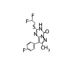 Cc1nn2c(=O)[nH]c(SCC(F)F)nc2c1-c1ccc(F)cc1